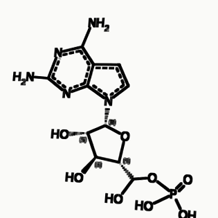 Nc1nc(N)c2ccn([C@@H]3O[C@H](C(O)OP(=O)(O)O)[C@@H](O)[C@@H]3O)c2n1